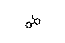 CCc1ccccc1-c1ccncc1